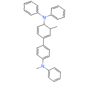 CC1C=C(c2ccc(N(C)c3ccccc3)cc2)C=CC1N(c1ccccc1)c1ccccc1